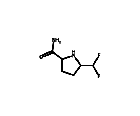 NC(=O)C1CCC(C(F)F)N1